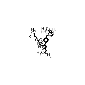 CCCCOC(=O)[N-]S(=O)(=O)c1sc(CC(C)C)cc1-c1ccc(Cn2ccnc2C(C)(C)C)cc1.[K+]